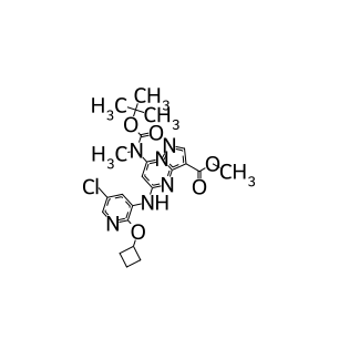 COC(=O)c1cnn2c(N(C)C(=O)OC(C)(C)C)cc(Nc3cc(Cl)cnc3OC3CCC3)nc12